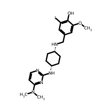 COc1cc(CN[C@H]2CC[C@@H](Nc3nccc(N(C)C)n3)CC2)cc(I)c1O